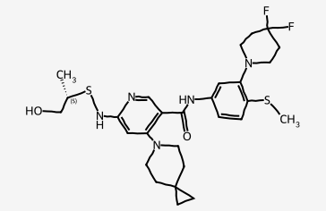 CSc1ccc(NC(=O)c2cnc(NS[C@@H](C)CO)cc2N2CCC3(CC2)CC3)cc1N1CCC(F)(F)CC1